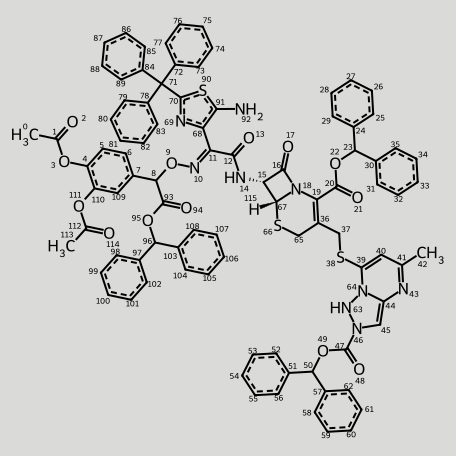 CC(=O)Oc1ccc(C(ON=C(C(=O)N[C@@H]2C(=O)N3C(C(=O)OC(c4ccccc4)c4ccccc4)=C(CSC4=CC(C)=NC5=CN(C(=O)OC(c6ccccc6)c6ccccc6)NN54)CS[C@H]23)c2nc(C(c3ccccc3)(c3ccccc3)c3ccccc3)sc2N)C(=O)OC(c2ccccc2)c2ccccc2)cc1OC(C)=O